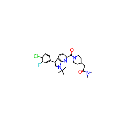 CN(C)C(=O)CC1CCN(C(=O)c2ccc3c(-c4ccc(Cl)c(F)c4)cn(C(C)(C)C)c3n2)CC1